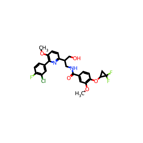 COc1cc(C(=O)NCC(CO)c2ccc(OC)c(-c3ccc(F)c(Cl)c3)n2)ccc1OC1CC1(F)F